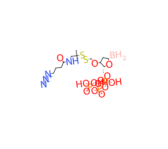 B[C@H]1CC(OCSSC(C)(C)CNC(=O)CCCN=[N+]=[N-])[C@@H](COP(=O)(O)OP(=O)(O)OP(=O)(O)O)O1